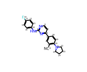 N#Cc1cc(-c2ccnc(Nc3ccc(F)cc3)n2)ccc1N1CCCC1